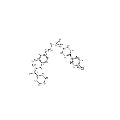 CN(C(=O)Cc1ccc(OCC[C@@H]2C[C@@H]2C2CCN(c3ncc(Cl)cn3)CC2)cc1F)C1CCCCC1